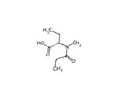 CCC(=O)N(C)C(CC)C(=O)O